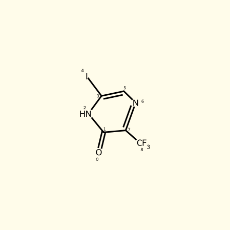 O=c1[nH]c(I)cnc1C(F)(F)F